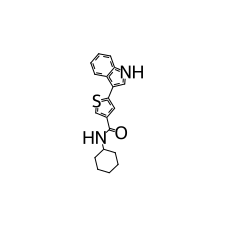 O=C(NC1CCCCC1)c1csc(-c2c[nH]c3ccccc23)c1